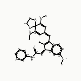 COC1=CC(=CC2=C(C)/C(=C\C(=O)Nc3cccnc3)c3cc(OC)ccc32)C=C(OC)C12OCCO2